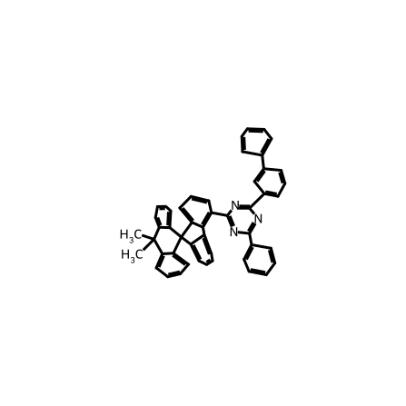 CC1(C)c2ccccc2C2(c3ccccc3-c3c(-c4nc(-c5ccccc5)nc(-c5cccc(-c6ccccc6)c5)n4)cccc32)c2ccccc21